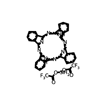 O=C(O[SiH2]OC(=O)C(F)(F)F)C(F)(F)F.c1ccc2c(c1)-c1nc-2nc2[nH]c(nc3nc(nc4[nH]c(n1)c1ccccc41)-c1ccccc1-3)c1ccccc21